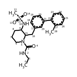 CCNC(=O)N1CCCC(NS(C)(=O)=O)C1Cc1cccc(-c2ccccc2C)c1